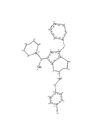 OC(c1nn(Cc2ccncc2)c2c1CC(NCc1ccc(F)cc1)CC2)N1CCCCC1